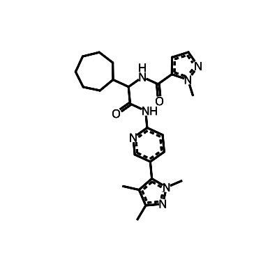 Cc1nn(C)c(-c2ccc(NC(=O)C(NC(=O)c3ccnn3C)C3CCCCCC3)nc2)c1C